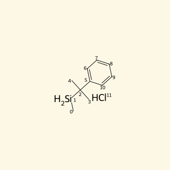 C[SiH2]C(C)(C)c1ccccc1.Cl